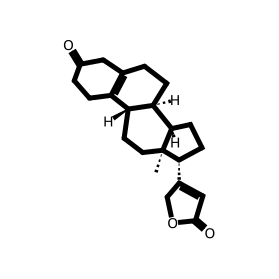 C[C@]12CC[C@@H]3C4=C(CC[C@H]3[C@H]1CC[C@@H]2C1=CC(=O)OC1)CC(=O)CC4